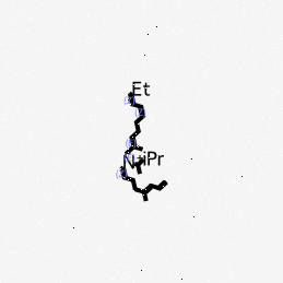 C=CC=C(C)CC\C=C/[N+](=C/C(C)=C/CC/C=C\C=C/CC)C(C)C(C)C